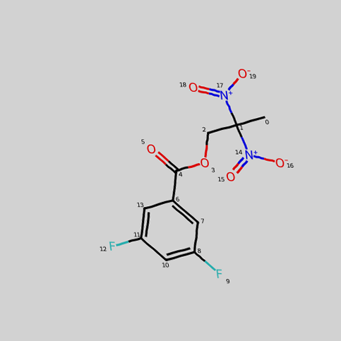 CC(COC(=O)c1cc(F)cc(F)c1)([N+](=O)[O-])[N+](=O)[O-]